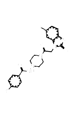 O=C(NN1CCN(C(=O)Cn2c(=O)sc3ccc(Cl)cc32)CC1)c1ccc(F)cc1